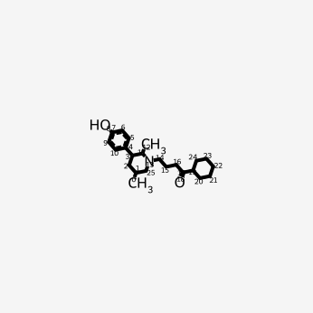 CC1CC(c2ccc(O)cc2)C(C)N(CCCC(=O)C2CCCCC2)C1